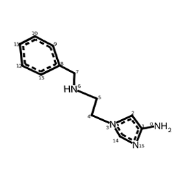 Nc1cn(CCNCc2ccccc2)cn1